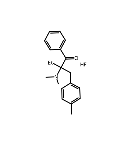 CCC(Cc1ccc(C)cc1)(C(=O)c1ccccc1)N(C)C.F